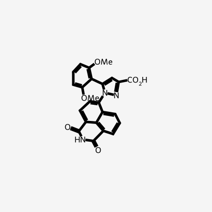 COc1cccc(OC)c1-c1cc(C(=O)O)nn1-c1ccc2c3c(cccc13)C(=O)NC2=O